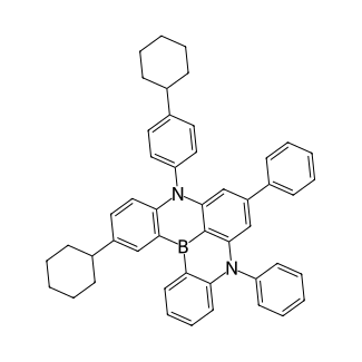 c1ccc(-c2cc3c4c(c2)N(c2ccc(C5CCCCC5)cc2)c2ccc(C5CCCCC5)cc2B4c2ccccc2N3c2ccccc2)cc1